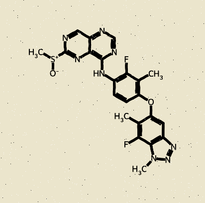 Cc1c(Oc2cc3nnn(C)c3c(F)c2C)ccc(Nc2ncnc3cnc([S+](C)[O-])nc23)c1F